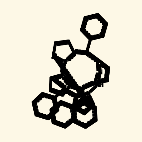 C1=Cc2c(-c3ccccc3)c3ccc4c(-c5ccccc5)c5[n+]6c(c(-c7ccccc7)c7ccc(c(-c8ccccc8)c1[n+]26)n7Nn34)C=C5